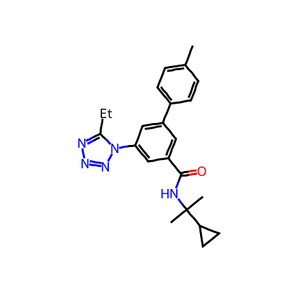 CCc1nnnn1-c1cc(C(=O)NC(C)(C)C2CC2)cc(-c2ccc(C)cc2)c1